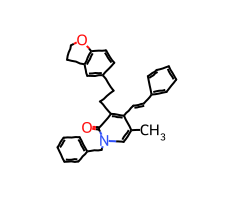 Cc1cn(Cc2ccccc2)c(=O)c(CCc2ccc3c(c2)CCO3)c1/C=C/c1ccccc1